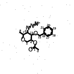 CC(=O)OC1COC(C)C(N=[N+]=[N-])C1OCc1ccccc1